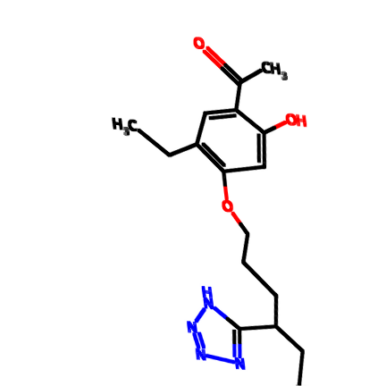 CCc1cc(C(C)=O)c(O)cc1OCCCC(CC)c1nnn[nH]1